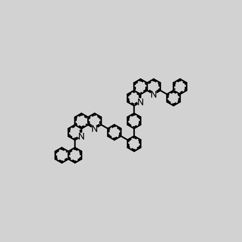 c1ccc(-c2ccc(-c3ccc4ccc5ccc(-c6cccc7ccccc67)nc5c4n3)cc2)c(-c2ccc(-c3ccc4ccc5ccc(-c6cccc7ccccc67)nc5c4n3)cc2)c1